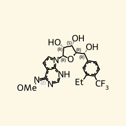 CCc1cc([C@@H](O)[C@H]2O[C@@H](n3ccc4/c(=N/OC)nc[nH]c43)[C@H](O)[C@@H]2O)ccc1C(F)(F)F